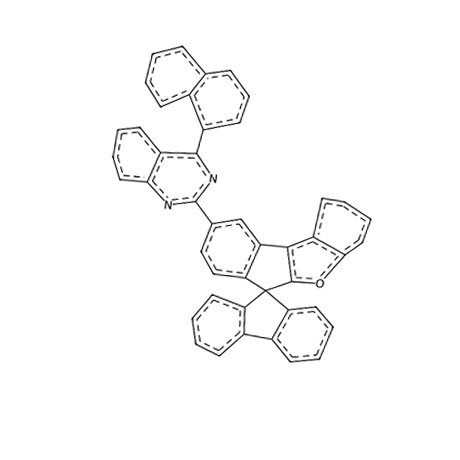 c1ccc2c(c1)-c1ccccc1C21c2ccc(-c3nc(-c4cccc5ccccc45)c4ccccc4n3)cc2-c2c1oc1ccccc21